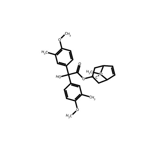 COc1ccc(C(O)(C(=O)OC2CC3C=CC(C2)[N+]3(C)C)c2ccc(OC)c(C)c2)cc1C